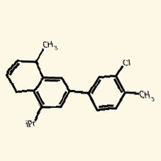 Cc1ccc(-c2cc(C(C)C)c3c(c2)C(C)C=CC3)cc1Cl